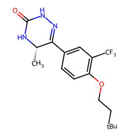 C[C@@H]1NC(=O)NN=C1c1ccc(OCCC(C)(C)C)c(C(F)(F)F)c1